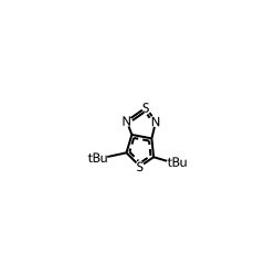 CC(C)(C)c1sc(C(C)(C)C)c2c1N=S=N2